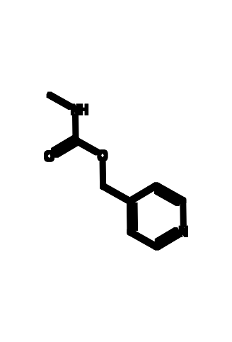 CNC(=O)OCc1ccncc1